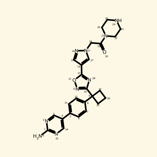 Nc1ncc(-c2ccc(C3(c4noc(-c5cnn(CC(=O)N6CCNCC6)c5)n4)CCC3)cc2)cn1